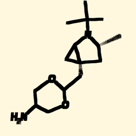 C[C@@H]1C[C@@]2(CC3OCC(N)CO3)CC2N1C(C)(C)C